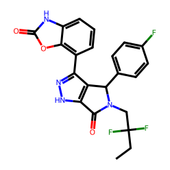 CCC(F)(F)CN1C(=O)c2[nH]nc(-c3cccc4[nH]c(=O)oc34)c2C1c1ccc(F)cc1